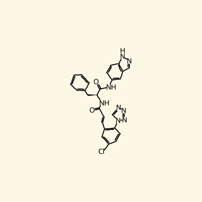 O=C(C=Cc1cc(Cl)ccc1-n1cnnn1)N[C@@H](Cc1ccccc1)C(=O)Nc1ccc2[nH]ncc2c1